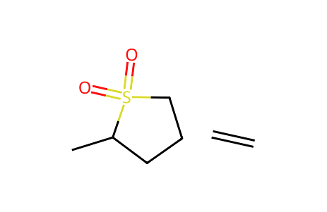 C=C.CC1CCCS1(=O)=O